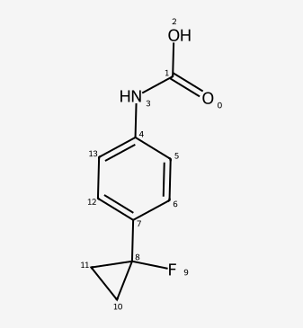 O=C(O)Nc1ccc(C2(F)CC2)cc1